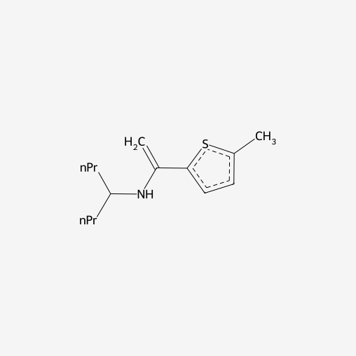 C=C(NC(CCC)CCC)c1ccc(C)s1